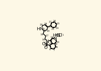 Cl.Cl.O=S1(=O)c2cccc3cncc(c23)N1CCCC1CC(c2ccccc2)=CCN1